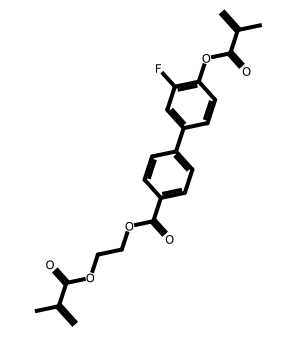 C=C(C)C(=O)OCCOC(=O)c1ccc(-c2ccc(OC(=O)C(=C)C)c(F)c2)cc1